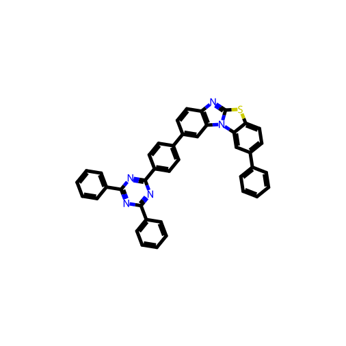 c1ccc(-c2ccc3sc4nc5ccc(-c6ccc(-c7nc(-c8ccccc8)nc(-c8ccccc8)n7)cc6)cc5n4c3c2)cc1